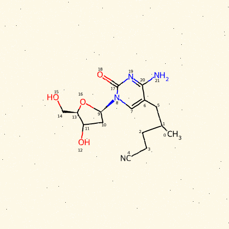 CC(CCC#N)Cc1cn([C@H]2CC(O)[C@@H](CO)O2)c(=O)nc1N